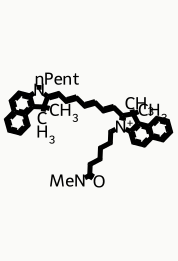 CCCCCN1/C(=C/C=C/C=C/C=C/C2=[N+](CCCCCC(=O)NC)c3ccc4ccccc4c3C2(C)C)C(C)(C)c2c1ccc1ccccc21